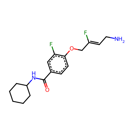 NCC=C(F)COc1ccc(C(=O)NC2CCCCC2)cc1F